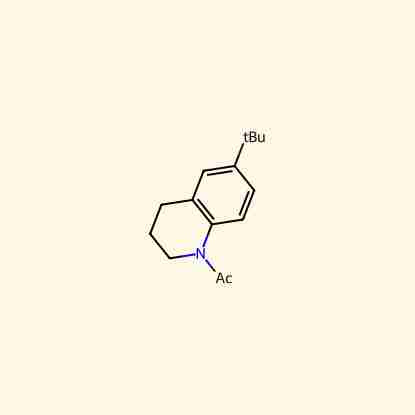 CC(=O)N1CCCc2cc(C(C)(C)C)ccc21